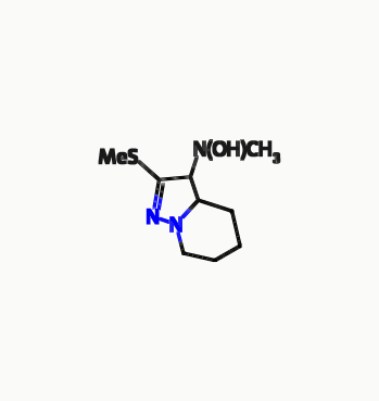 CSC1=NN2CCCCC2C1N(C)O